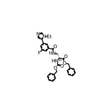 CCn1cncc1-c1cc(F)cc(C(=O)NC[C@@H](NC(=O)OCc2ccccc2)C(=O)OCc2ccccc2)c1